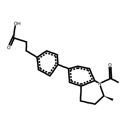 CC(=O)N1c2ccc(-c3ccc(CCC(=O)O)cc3)cc2CC[C@@H]1C